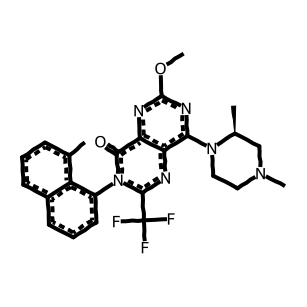 COc1nc(N2CCN(C)C[C@@H]2C)c2nc(C(F)(F)F)n(-c3cccc4cccc(C)c34)c(=O)c2n1